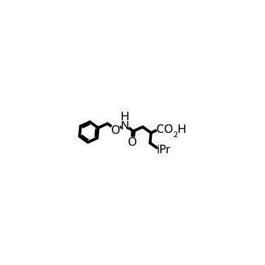 CC(C)CC(CC(=O)NOCc1ccccc1)C(=O)O